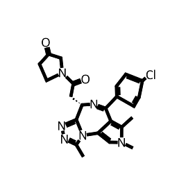 Cc1c2c(cn1C)-n1c(C)nnc1[C@H](CC(=O)N1CCC(=O)C1)N=C2c1ccc(Cl)cc1